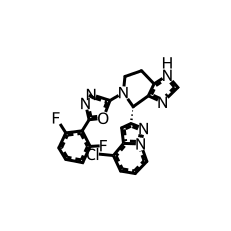 Fc1cccc(F)c1-c1nnc(N2CCc3[nH]cnc3[C@@H]2c2cc3c(Cl)cccn3n2)o1